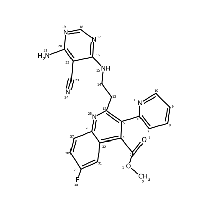 COC(=O)c1c(-c2ccccn2)c(CCNc2ncnc(N)c2C#N)nc2ccc(F)cc12